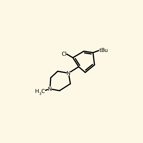 CN1CCN(c2ccc(C(C)(C)C)cc2Cl)CC1